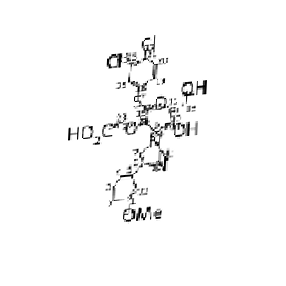 COc1cccc(-c2cn([C@H]3[C@@H](O)[C@@H](CO)O[C@H](Sc4ccc(Cl)c(Cl)c4)[C@@H]3OCC(=O)O)nn2)c1